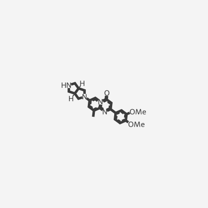 COc1ccc(-c2cc(=O)n3cc(N4C[C@H]5CNC[C@H]5C4)cc(C)c3n2)cc1OC